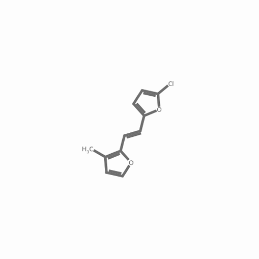 Cc1ccoc1/C=C/c1ccc(Cl)o1